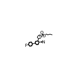 CCCCOC(=O)N1CCC(c2cc(-c3ccc(F)cc3)ccc2C#N)C1